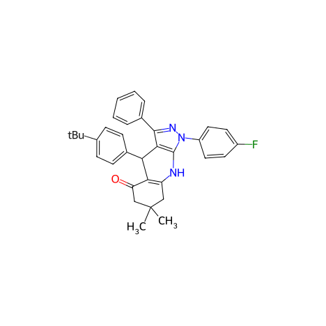 CC1(C)CC(=O)C2=C(C1)Nc1c(c(-c3ccccc3)nn1-c1ccc(F)cc1)C2c1ccc(C(C)(C)C)cc1